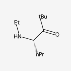 CCC[C@H](NCC)C(=O)C(C)(C)C